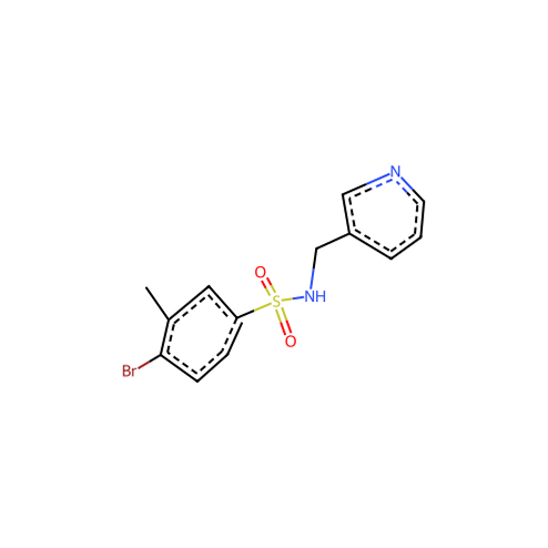 Cc1cc(S(=O)(=O)NCc2cccnc2)ccc1Br